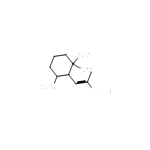 CNC1CCCC(NC)(NC)C1C=C(C)C(=O)O